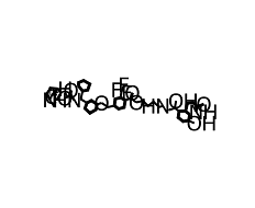 O=C(NC(c1ccccc1)c1cccc(OCc2ccc(C(=O)OCCCCNCC(O)c3ccc(O)c4[nH]c(=O)ccc34)c(C(F)(F)F)c2)c1)O[C@H]1CN2CCC1CC2